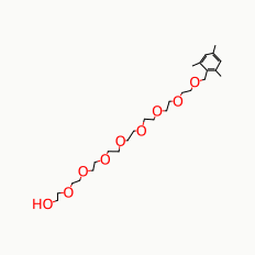 Cc1cc(C)c(COCCOCCOCCOCCOCCOCCOCCOCCO)c(C)c1